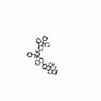 CC1(C)c2cc(-c3ccc(-c4cc(-c5ccc6c(c5)-c5ccccc5C6(c5ccccc5)c5ccccc5)nc(-c5ccccc5)n4)c4ccccc34)ccc2-c2ccc3ccccc3c21